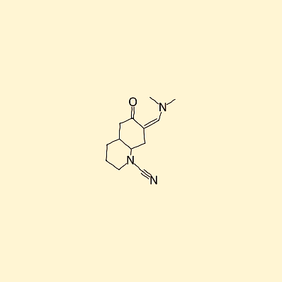 CN(C)/C=C1/CC2C(CCCN2C#N)CC1=O